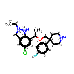 CC(OCC1(c2ccc(F)cc2)CCNCC1)c1cc(Cl)cc2c1NN(CC#N)C2